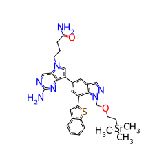 C[Si](C)(C)CCOCn1ncc2cc(-c3cn(CCCC(N)=O)c4cnc(N)nc34)cc(-c3cc4ccccc4s3)c21